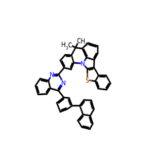 CC1(C)c2ccc(-c3nc(-c4cccc(-c5cccc6ccccc56)c4)c4ccccc4n3)cc2-n2c3sc4ccccc4c3c3cccc1c32